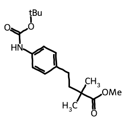 COC(=O)C(C)(C)CCc1ccc(NC(=O)OC(C)(C)C)cc1